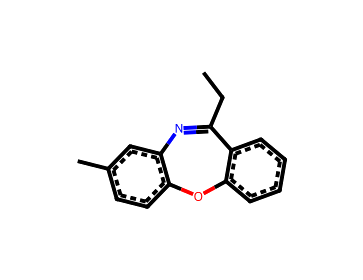 CCC1=Nc2cc(C)ccc2Oc2ccccc21